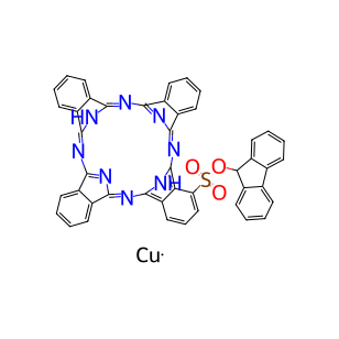 O=S(=O)(OC1c2ccccc2-c2ccccc21)c1cccc2c3nc4nc(nc5[nH]c(nc6nc(nc([nH]3)c12)-c1ccccc1-6)c1ccccc51)-c1ccccc1-4.[Cu]